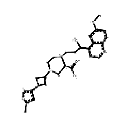 COc1ccc2nccc(C(O)CC[C@@H]3CCN(C4CC(c5cc(C)sn5)C4)C[C@@H]3C(=O)O)c2c1